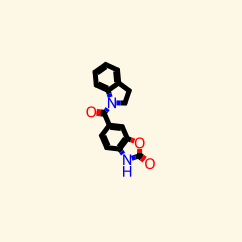 O=C(c1ccc2[nH]c(=O)oc2c1)N1CCc2ccccc21